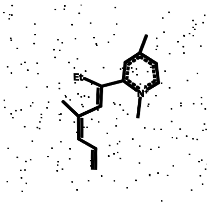 C=C/C=C(C)\C=C(/CC)c1cc(C)cc[n+]1C